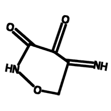 N=C1CONC(=O)C1=O